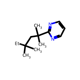 CCC(C)(C)CC(C)(C)c1ncccn1